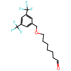 O=CCCCCCCOCc1cc(C(F)(F)F)cc(C(F)(F)F)c1